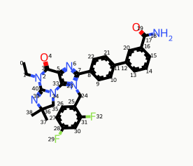 CCN1C(=O)c2nc(-c3ccc(-c4cccc(C(N)=O)c4)cc3)n(Cc3ccc(F)cc3F)c2N2CC(C)(C)N=C12